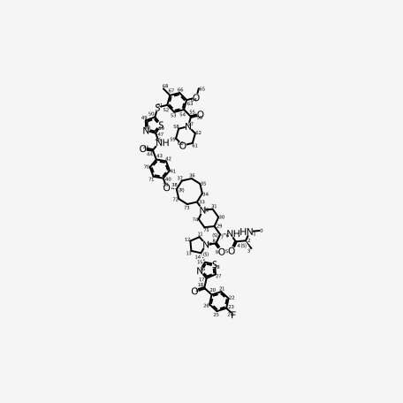 CN[C@@H](C)C(=O)N[C@H](C(=O)N1CCC[C@H]1c1nc(C(=O)c2ccc(F)cc2)cs1)C1CCN(C2CCCC[C@@H](Oc3ccc(C(=O)Nc4ncc(Sc5cc(C(=O)N6CCOCC6)c(OC)cc5C)s4)cc3)CC2)CC1